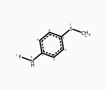 CSc1ccc(NF)cc1